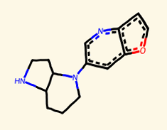 c1cc2ncc(N3CCCC4NCCC43)cc2o1